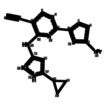 C#Cc1cnc(-c2ccc(CCC)s2)nc1Nc1cc(C2CC2)[nH]n1